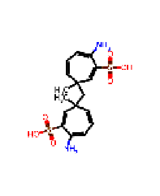 CC1(CC2(C)C=CC=C(N)C(S(=O)(=O)O)=C2)C=CC=C(N)C(S(=O)(=O)O)=C1